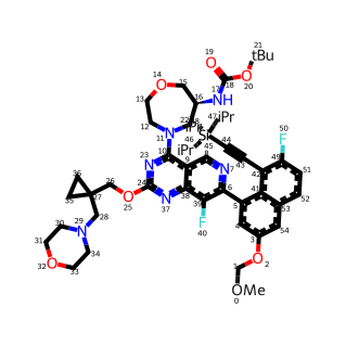 COCOc1cc(-c2ncc3c(N4CCOC[C@@H](NC(=O)OC(C)(C)C)C4)nc(OCC4(CN5CCOCC5)CC4)nc3c2F)c2c(C#C[Si](C(C)C)(C(C)C)C(C)C)c(F)ccc2c1